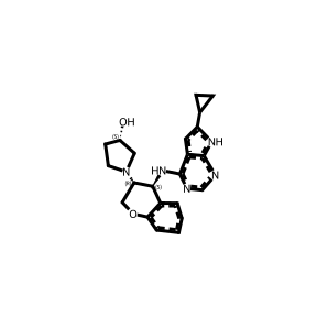 O[C@H]1CCN([C@H]2COc3ccccc3[C@@H]2Nc2ncnc3[nH]c(C4CC4)cc23)C1